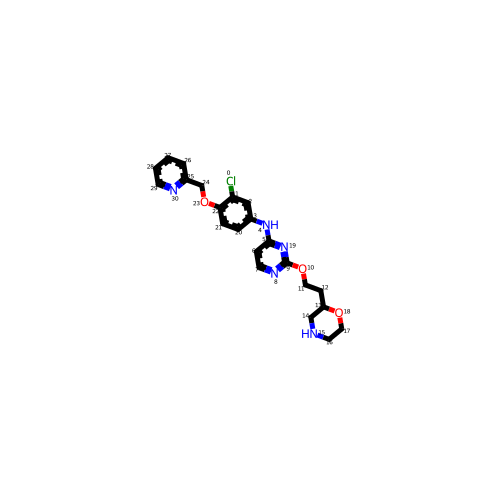 Clc1cc(Nc2ccnc(OCCC3CNCCO3)n2)ccc1OCc1ccccn1